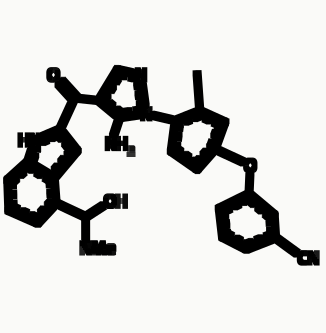 CNC(O)c1cccc2[nH]c(C(=O)c3cnn(-c4ccc(Oc5cccc(C#N)c5)cc4C)c3N)cc12